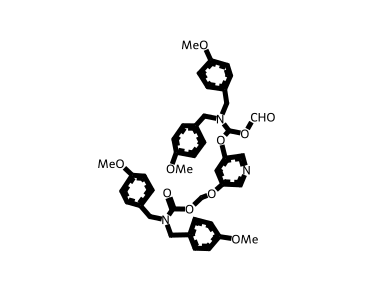 COc1ccc(CN(Cc2ccc(OC)cc2)C(=O)OCOc2cncc(OC(OC=O)N(Cc3ccc(OC)cc3)Cc3ccc(OC)cc3)c2)cc1